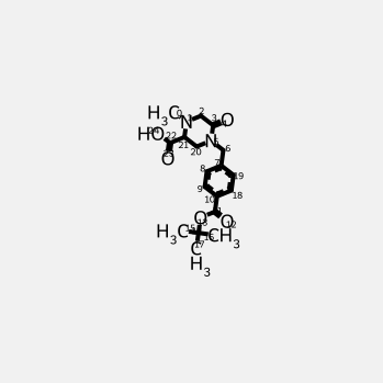 CN1CC(=O)N(Cc2ccc(C(=O)OC(C)(C)C)cc2)CC1C(=O)O